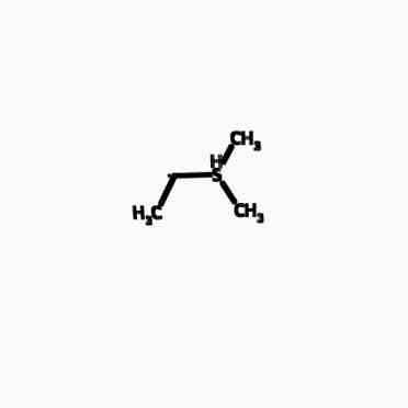 C[CH][SH](C)C